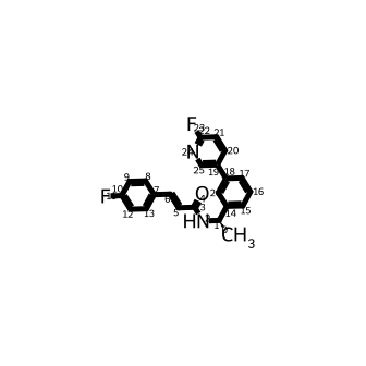 C[C@H](NC(=O)C=Cc1ccc(F)cc1)c1cccc(-c2ccc(F)nc2)c1